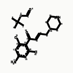 CC(C)(C)OC=O.Nc1nc(Cl)c(C(=O)/C=C/CN2CCNCC2)c(Cl)n1